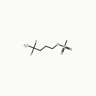 CS(=O)(=O)OCCCC(F)(F)C(F)(F)F